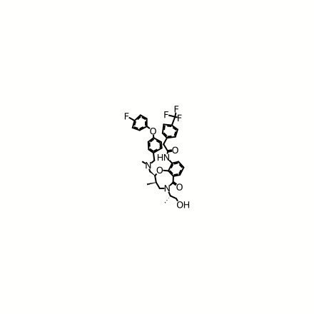 C[C@@H]1CN([C@@H](C)CO)C(=O)c2cccc(NC(=O)Cc3ccc(C(F)(F)F)cc3)c2O[C@@H]1CN(C)Cc1ccc(Oc2ccc(F)cc2)cc1